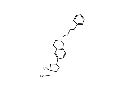 N[C@]1(CO)CC[C@H](c2ccc3c(c2)CC[C@H](CSCCc2ccccc2)C3)C1